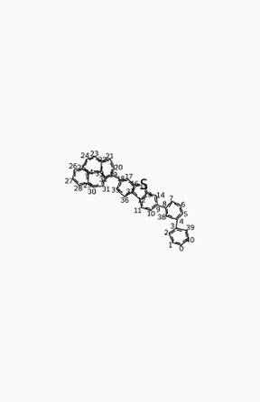 c1ccc(-c2cccc(-c3ccc4c(c3)sc3cc(-c5ccc6ccc7cccc8ccc5c6c78)ccc34)c2)cc1